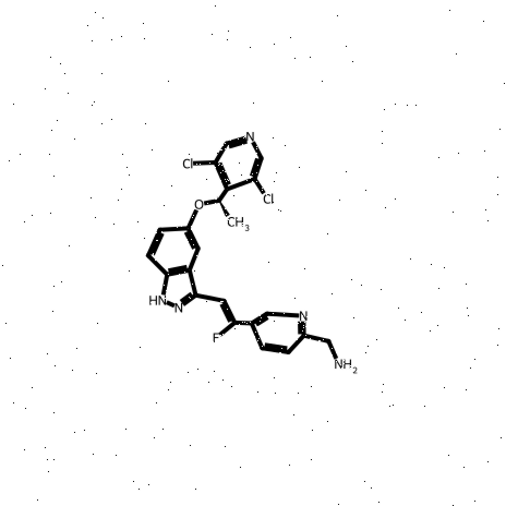 C[C@@H](Oc1ccc2[nH]nc(/C=C(\F)c3ccc(CN)nc3)c2c1)c1c(Cl)cncc1Cl